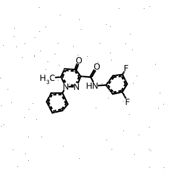 Cc1cc(=O)c(C(=O)Nc2cc(F)cc(F)c2)nn1-c1ccccc1